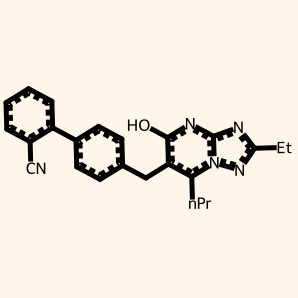 CCCc1c(Cc2ccc(-c3ccccc3C#N)cc2)c(O)nc2nc(CC)nn12